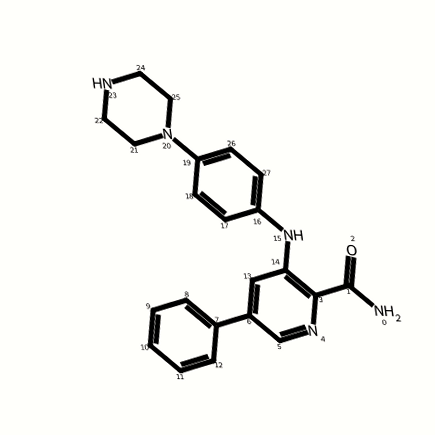 NC(=O)c1ncc(-c2ccccc2)cc1Nc1ccc(N2CCNCC2)cc1